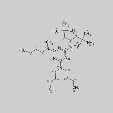 CCCCN(C)c1nc(NC(CC(C)(C)C)CC(C)(C)N)nc(N(CCCC)CCCC)n1